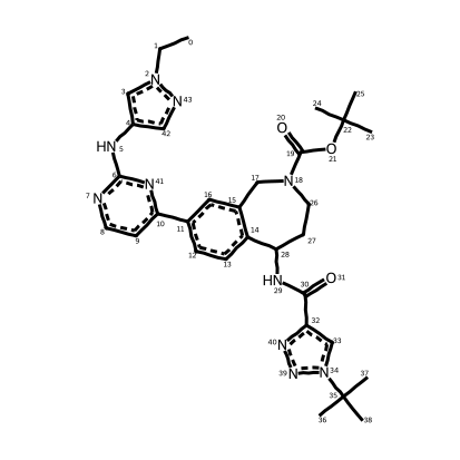 CCn1cc(Nc2nccc(-c3ccc4c(c3)CN(C(=O)OC(C)(C)C)CCC4NC(=O)c3cn(C(C)(C)C)nn3)n2)cn1